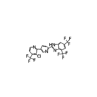 FC(F)(F)c1cc(C(F)(F)F)c2nc(-c3ccc(-c4nccc(C(F)(F)F)c4Cl)cn3)[nH]c2c1